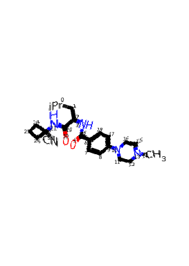 CC(C)CC(NC(=O)c1ccc(N2CCN(C)CC2)cc1)C(=O)NC1(C#N)CCC1